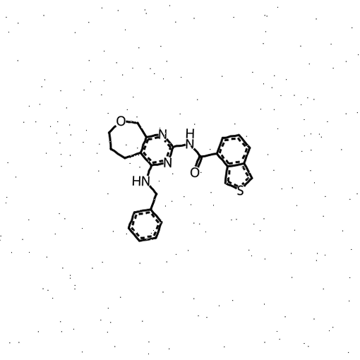 O=C(Nc1nc2c(c(NCc3ccccc3)n1)CCCOC2)c1cccc2cscc12